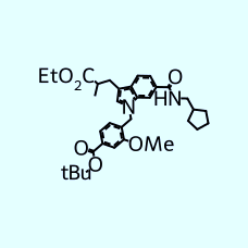 CCOC(=O)C(C)Cc1cn(Cc2ccc(C(=O)OC(C)(C)C)cc2OC)c2cc(C(=O)NCC3CCCC3)ccc12